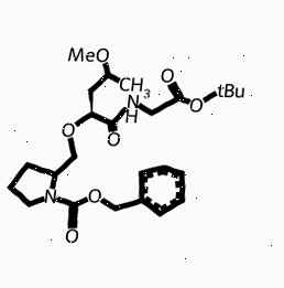 COC(C)C[C@H](OCC1CCCN1C(=O)OCc1ccccc1)C(=O)NCC(=O)OC(C)(C)C